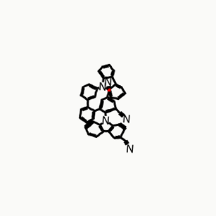 N#Cc1c#cc2c(c1)c1ccc#cc1n2-c1c(C#N)cc(C#N)cc1-c1ccccc1-c1cccc(-n2c3ccccc3c3ccccc32)c1